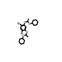 CC(Oc1cc(OC(C)OC2CCCCC2)c(Br)cc1Br)OC1CCCCC1